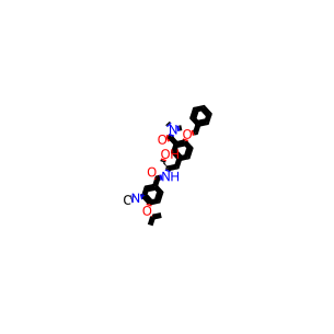 [C-]#[N+]c1cc(C(=O)N[C@H](CO)Cc2ccc(OCc3ccccc3)c(C(=O)N(C)C)c2)ccc1OC(C)C